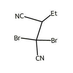 CCC(C#N)C(Br)(Br)C#N